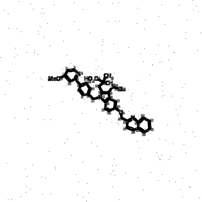 COc1ccnc(-c2ccc(Cn3c(CC(C)(C)C(=O)O)c(SC(C)(C)C)c4cc(OCc5ccc6ccccc6n5)ccc43)cc2)c1